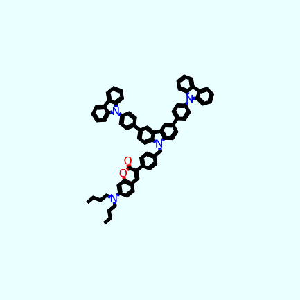 CCCCN(CCCC)c1ccc2cc(-c3ccc(Cn4c5ccc(-c6ccc(-n7c8ccccc8c8ccccc87)cc6)cc5c5cc(-c6ccc(-n7c8ccccc8c8ccccc87)cc6)ccc54)cc3)c(=O)oc2c1